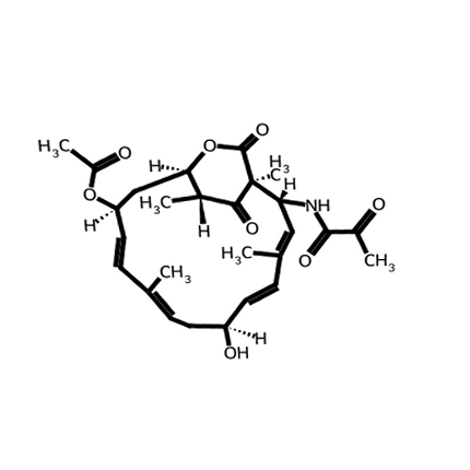 CC(=O)O[C@@H]1/C=C/C(C)=C/C[C@H](O)/C=C/C(C)=C/[C@@H](NC(=O)C(C)=O)[C@]2(C)C(=O)O[C@H](C1)[C@@H](C)C2=O